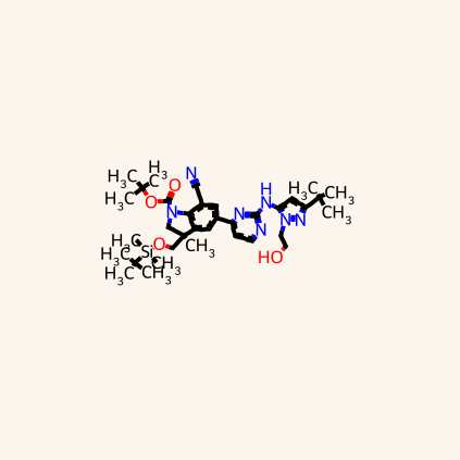 CC(C)(C)OC(=O)N1CC(C)(CO[Si](C)(C)C(C)(C)C)c2cc(-c3ccnc(Nc4cc(C(C)(C)C)nn4CCO)n3)cc(C#N)c21